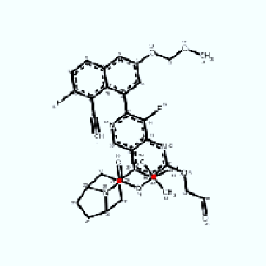 C#Cc1c(F)ccc2cc(OCOC)cc(-c3ncc4c(N5CC6CCC(C5)N6C(=O)OC(C)(C)C)nc(OCC=O)nc4c3F)c12